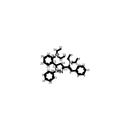 CCN(CC)C(=Cc1ccccc1)C1=NN(c2ccccc2)C(c2ccccc2N(CC)CC)C1